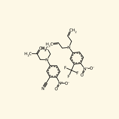 C=C(C)CN(CC)c1ccc([N+](=O)[O-])c(C#N)c1.C=CCN(CC=C)c1ccc([N+](=O)[O-])c(C(F)(F)F)c1